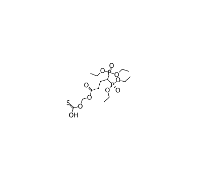 CCOP(=O)(OCC)C(CCC(=O)OCOC(O)=S)P(=O)(OCC)OCC